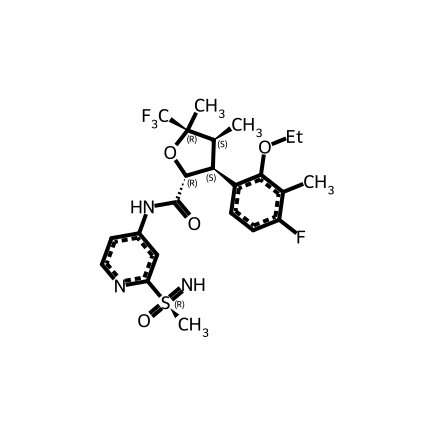 CCOc1c([C@H]2[C@H](C(=O)Nc3ccnc([S@](C)(=N)=O)c3)O[C@@](C)(C(F)(F)F)[C@H]2C)ccc(F)c1C